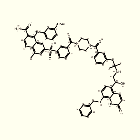 COc1cccc(Nc2c(C(N)=O)cnc3c(C)cc(S(=O)(=O)c4cccc(C(=O)N5CCN(C(=O)c6cccc(CC(C)(C)NCC(O)c7ccc(OCc8ccccc8)c8[nH]c(=O)ccc78)c6)CC5)c4)cc23)c1